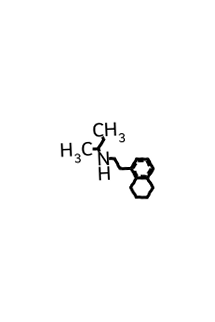 CCC(C)NCCc1cccc2c1CCCC2